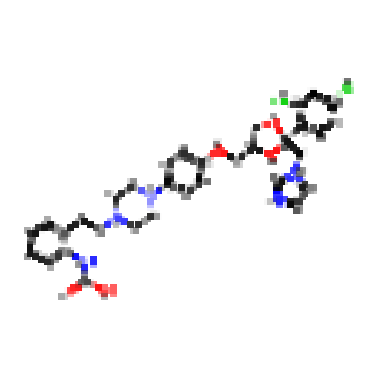 O=C(O)Nc1ccccc1CCN1CCN(c2ccc(OCC3COC(Cn4ccnc4)(c4ccc(Cl)cc4Cl)O3)cc2)CC1